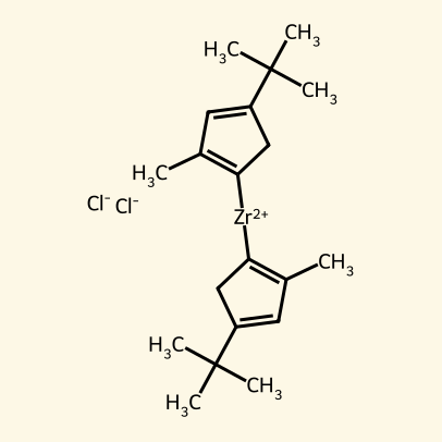 CC1=[C]([Zr+2][C]2=C(C)C=C(C(C)(C)C)C2)CC(C(C)(C)C)=C1.[Cl-].[Cl-]